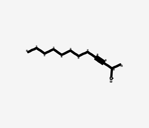 CCCCCCCCC#CC(C)[O]